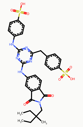 CCC(C)(CC)CN1C(=O)c2ccc(Nc3nc(Cc4ccc(S(=O)(=O)O)cc4)nc(Nc4ccc(S(=O)(=O)O)cc4)n3)cc2C1=O